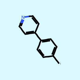 [CH]c1ccc(-c2ccncc2)cc1